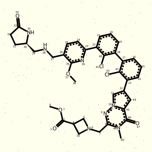 COC(=O)C1CN(Cc2nn3cc(-c4cccc(-c5cccc(-c6ccc(CNC[C@H]7CCC(=O)N7)c(OC)n6)c5Cl)c4Cl)cc3c(=O)n2C)C1